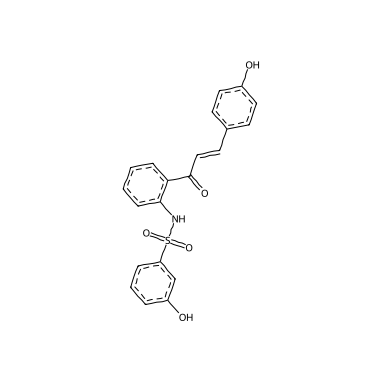 O=C(/C=C/c1ccc(O)cc1)c1ccccc1NS(=O)(=O)c1cccc(O)c1